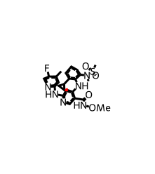 CONC(=O)c1cnc(Nc2cc(C)c(F)cn2)cc1Nc1c(C2CC2)cccc1N(C)S(C)(=O)=O